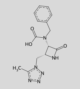 Cc1nnnn1C[C@H]1NC(=O)[C@H]1N(Cc1ccccc1)C(=O)O